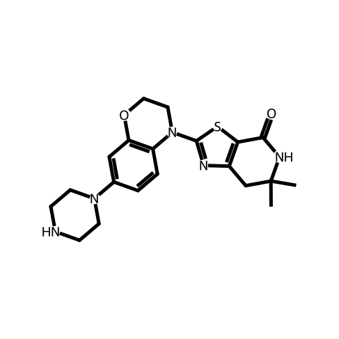 CC1(C)Cc2nc(N3CCOc4cc(N5CCNCC5)ccc43)sc2C(=O)N1